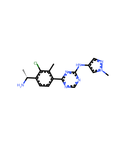 Cc1c(-c2ncnc(Nc3cnn(C)c3)n2)ccc([C@@H](C)N)c1Cl